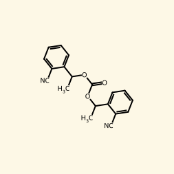 CC(OC(=O)OC(C)c1ccccc1C#N)c1ccccc1C#N